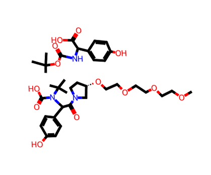 CC(C)(C)OC(=O)NC(C(=O)O)c1ccc(O)cc1.COCCOCCOCCO[C@H]1CCN(C(=O)C(c2ccc(O)cc2)N(C(=O)O)C(C)(C)C)C1